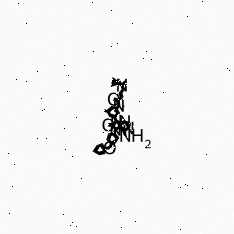 Cc1cc(N(C)C(=O)C=CCN(C)C2CC2)cc(-n2c(=O)n(-c3ccc(Oc4ccccc4)cc3)c3c(N)ncnc32)c1